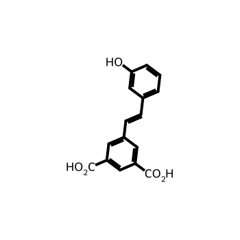 O=C(O)c1cc(C=Cc2cccc(O)c2)cc(C(=O)O)c1